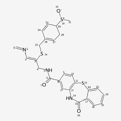 C=N/C=C(/CNC(=O)c1ccc2c(c1)NC(=O)c1ccccc1S2)SCC1=CCC([S+](C)[O-])C=C1